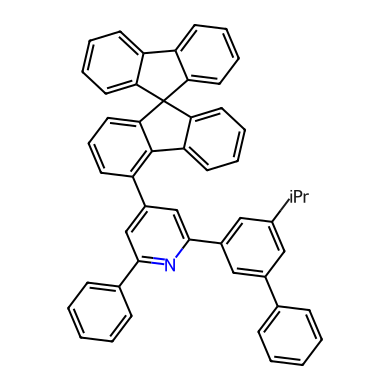 CC(C)c1cc(-c2ccccc2)cc(-c2cc(-c3cccc4c3-c3ccccc3C43c4ccccc4-c4ccccc43)cc(-c3ccccc3)n2)c1